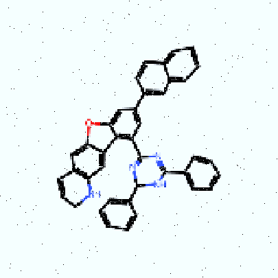 C1=Cc2cc3oc4cc(-c5ccc6ccccc6c5)cc(C5=NC(c6ccccc6)NC(c6ccccc6)=N5)c4c3cc2NC1